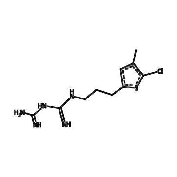 Cc1cc(CCCNC(=N)NC(=N)N)sc1Cl